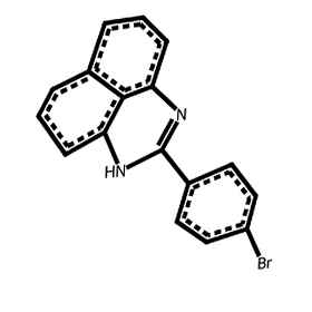 Brc1ccc(C2=Nc3cccc4cccc(c34)N2)cc1